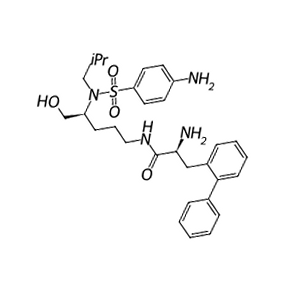 CC(C)CN([C@H](CO)CCCNC(=O)[C@@H](N)Cc1ccccc1-c1ccccc1)S(=O)(=O)c1ccc(N)cc1